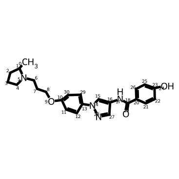 CC1CCCN1CCCOc1ccc(-n2cc(NC(=O)c3ccc(O)cc3)cn2)cc1